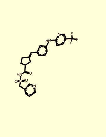 O=C(NS(=O)(=O)Cc1cccnc1)C1CCC(=Cc2cccc(Nc3ccc(C(F)(F)F)cn3)c2)C1